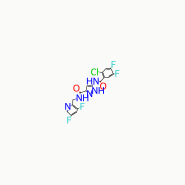 O=C(NCc1ncc(F)cc1F)c1cc(NC(=O)c2cc(F)c(F)cc2Cl)[nH]n1